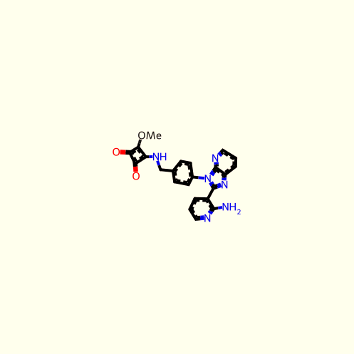 COc1c(NCc2ccc(-n3c(-c4cccnc4N)nc4cccnc43)cc2)c(=O)c1=O